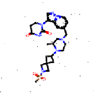 C[C@H]1CN(Cc2ccn3ncc(N4CCC(=O)NC4=O)c3c2)CCN1C1CC2(C1)CN(S(C)(=O)=O)C2